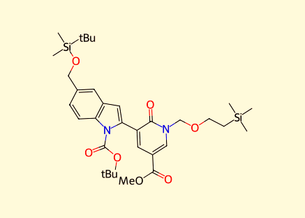 COC(=O)c1cc(-c2cc3cc(CO[Si](C)(C)C(C)(C)C)ccc3n2C(=O)OC(C)(C)C)c(=O)n(COCC[Si](C)(C)C)c1